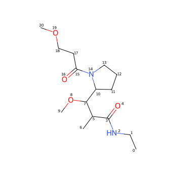 CCNC(=O)C(C)C(OC)C1CCCN1C(=O)CCOC